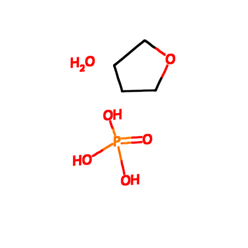 C1CCOC1.O.O=P(O)(O)O